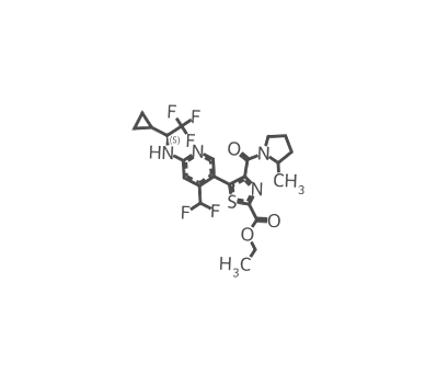 CCOC(=O)c1nc(C(=O)N2CCCC2C)c(-c2cnc(N[C@@H](C3CC3)C(F)(F)F)cc2C(F)F)s1